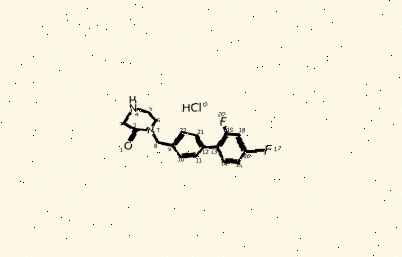 Cl.O=C1CNCCN1Cc1ccc(-c2ccc(F)cc2F)cc1